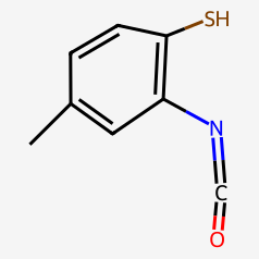 Cc1ccc(S)c(N=C=O)c1